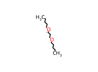 CCCCCO[CH]CCOCCCCC